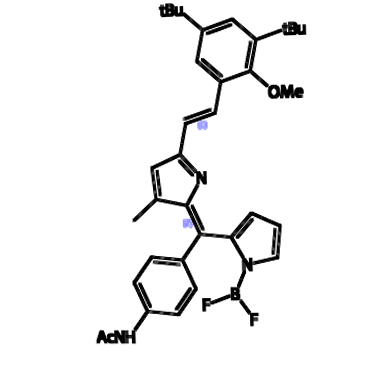 COc1c(/C=C/C2=NC(=C(/c3ccc(NC(C)=O)cc3)c3cccn3B(F)F)/C(C)=C2)cc(C(C)(C)C)cc1C(C)(C)C